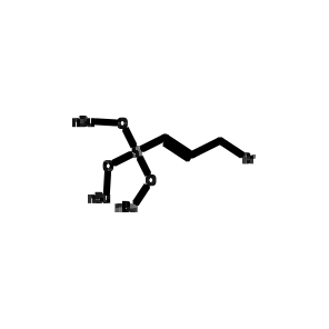 CCCCO[Si](/C=C/CBr)(OCCCC)OCCCC